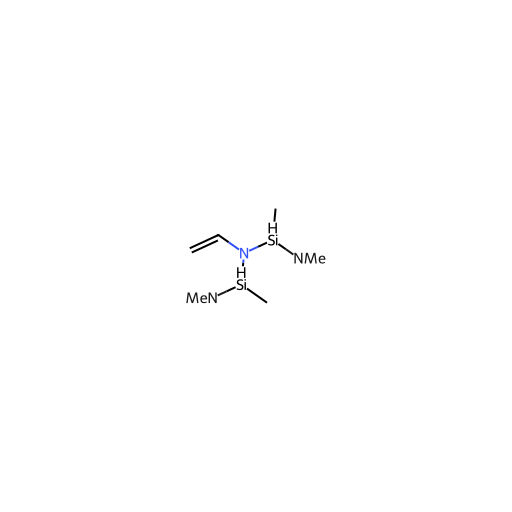 C=CN([SiH](C)NC)[SiH](C)NC